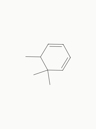 CC1C=CC=CC1(C)C